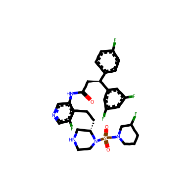 O=C(C[C@@H](c1ccc(F)cc1)c1cc(F)cc(F)c1)Nc1cncc(F)c1CC[C@H]1CNCCN1S(=O)(=O)N1CCCC(F)C1